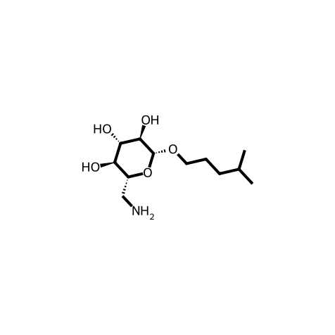 CC(C)CCCO[C@@H]1O[C@H](CN)[C@@H](O)[C@H](O)[C@H]1O